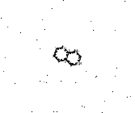 [c]1cnc2ncncc2c1